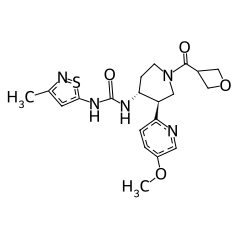 COc1ccc([C@@H]2CN(C(=O)C3COC3)CC[C@H]2NC(=O)Nc2cc(C)ns2)nc1